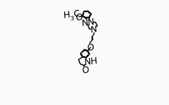 COc1cccc2c1nc1n2CCN(CC=CCOc2ccc3c(c2)NC(=O)CC3)C1